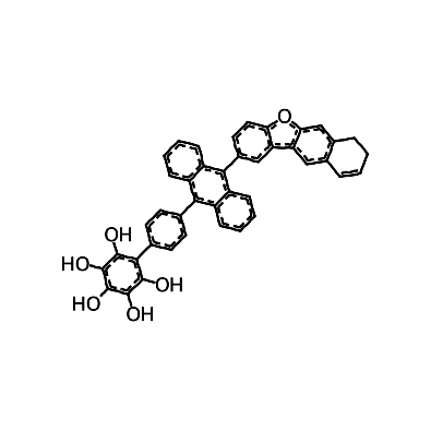 Oc1c(O)c(O)c(-c2ccc(-c3c4ccccc4c(-c4ccc5oc6cc7c(cc6c5c4)C=CCC7)c4ccccc34)cc2)c(O)c1O